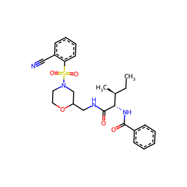 CC[C@H](C)[C@H](NC(=O)c1ccccc1)C(=O)NCC1CN(S(=O)(=O)c2ccccc2C#N)CCO1